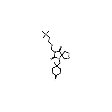 CC1(CN2C(=O)N(COCC[Si](C)(C)C)C(=O)C23CCOC3)CCC(=O)CC1